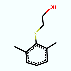 Cc1cccc(C)c1SCCO